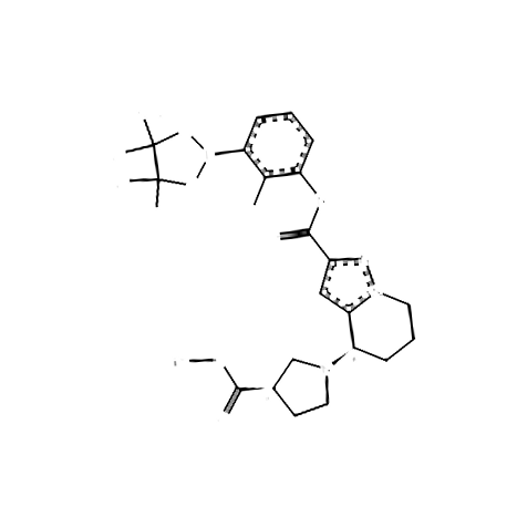 CC(C)OC(=O)[C@@H]1CCN([C@@H]2CCCn3nc(C(=O)Nc4cccc(B5OC(C)(C)C(C)(C)O5)c4Cl)cc32)C1